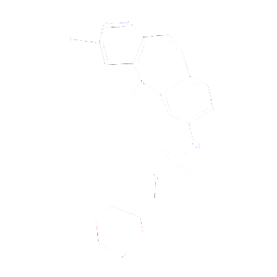 CN(C[C@H]1COCCO1)S(=O)(=O)Nc1ccc2ccc3ncc(Cl)cc3c(=O)c2c1